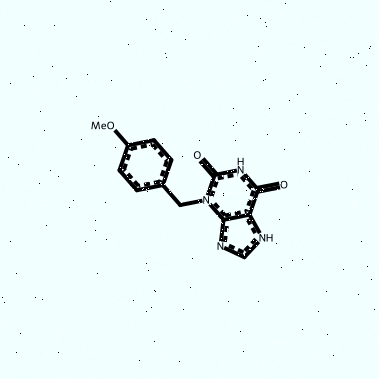 COc1ccc(Cn2c(=O)[nH]c(=O)c3[nH]cnc32)cc1